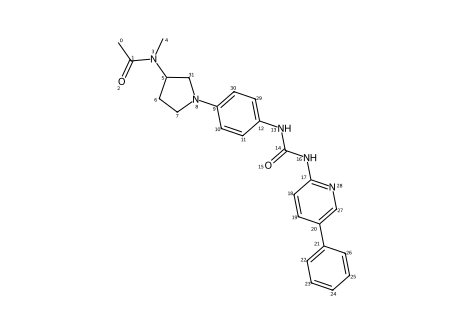 CC(=O)N(C)C1CCN(c2ccc(NC(=O)Nc3ccc(-c4ccccc4)cn3)cc2)C1